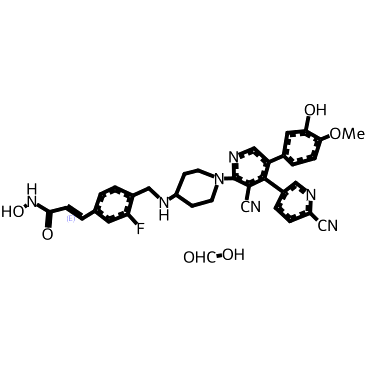 COc1ccc(-c2cnc(N3CCC(NCc4ccc(/C=C/C(=O)NO)cc4F)CC3)c(C#N)c2-c2ccc(C#N)nc2)cc1O.O=CO